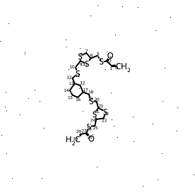 C=CC(=O)SCC1CSC(CSCC2CCCC(CSCC3SCC(CSC(=O)C=C)S3)C2)S1